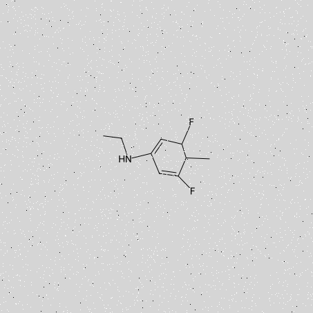 CCNC1=CC(F)C(C)C(F)=C1